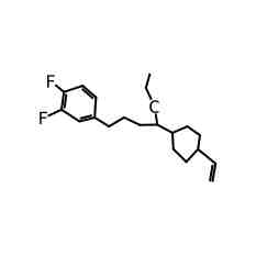 C=CC1CCC(C(CCC)CCCc2ccc(F)c(F)c2)CC1